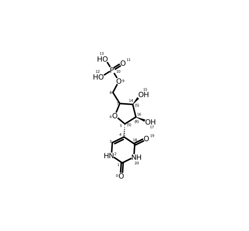 O=c1[nH]cc([C@@H]2OC(COP(=O)(O)O)[C@@H](O)[C@H]2O)c(=O)[nH]1